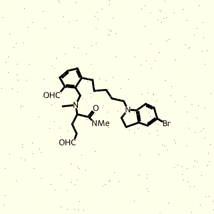 CNC(=O)C(CCC=O)N(C)Cc1c(C=O)cccc1CCCCCN1CCc2cc(Br)ccc21